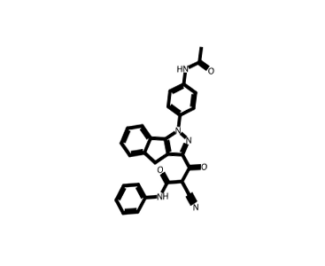 CC(=O)Nc1ccc(-n2nc(C(=O)C(C#N)C(=O)Nc3ccccc3)c3c2-c2ccccc2C3)cc1